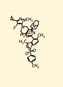 COC1CC2CCC(C1)N2c1nc(-c2c(C)ccc3c2c(C)nn3S(=O)(=O)c2ccc(C)cc2)nc2c1CN(c1c(F)c(C3CC3)nn1C)CC2